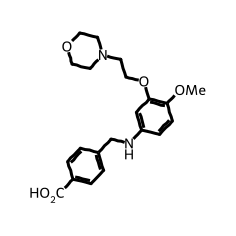 COc1ccc(NCc2ccc(C(=O)O)cc2)cc1OCCN1CCOCC1